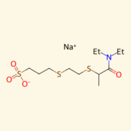 CCN(CC)C(=O)C(C)SCCSCCCS(=O)(=O)[O-].[Na+]